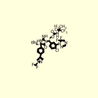 CC(C)(C)C[C@]1(c2ccc(-c3cnn(C(F)F)c3)cc2)NC(=N)N([C@H](COC(=O)NC(C)(C)C(F)(F)F)c2ccc(Cl)c(N3N=CN=CC3(F)F)c2)C1=O